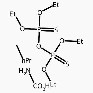 CCCC.CCOP(=S)(OCC)OP(=S)(OCC)OCC.NC(=O)O